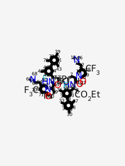 CCOC(=O)C[C@H](NC(=O)C(CC(C)C)n1cc(CCN(C)C)c(C(F)(F)F)cc1=O)c1cc(-c2c(C)cc(C)cc2C)cc(C)c1F.Cc1cc(C)c(-c2cc(C)c(F)c([C@H](CC(=O)O)NC(=O)C(CC(C)C)n3cc(CCN(C)C)c(C(F)(F)F)cc3=O)c2)c(C)c1